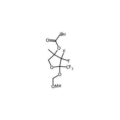 CCC(C)C(=O)OC1(C)COC(OCOC)(C(F)(F)F)C1(F)F